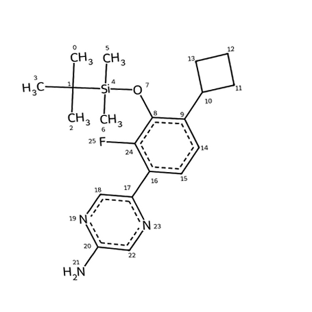 CC(C)(C)[Si](C)(C)Oc1c(C2CCC2)ccc(-c2cnc(N)cn2)c1F